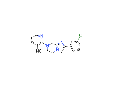 [C-]#[N+]c1cccnc1N1CCn2cc(-c3cccc(Cl)c3)nc2C1